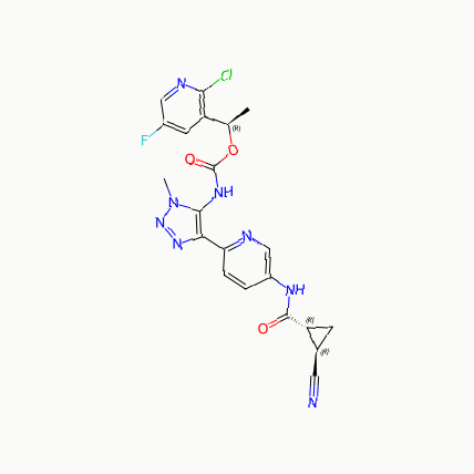 C[C@@H](OC(=O)Nc1c(-c2ccc(NC(=O)[C@@H]3C[C@H]3C#N)cn2)nnn1C)c1cc(F)cnc1Cl